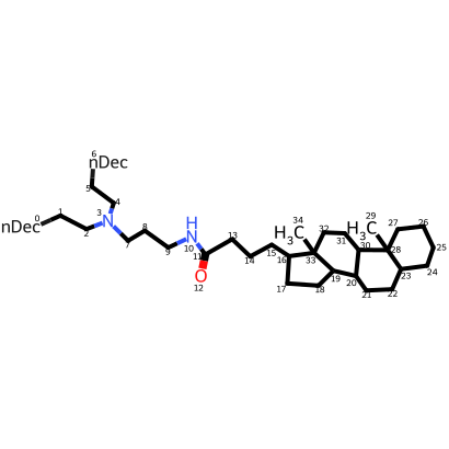 CCCCCCCCCCCCN(CCCCCCCCCCCC)CCCNC(=O)CCCC1CCC2C3CCC4CCCCC4(C)C3CCC12C